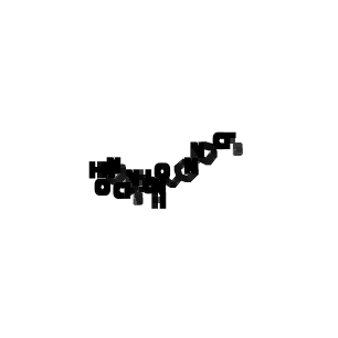 CC(CONC(=O)CC1CCN(c2ccc(C(F)(F)F)cn2)CC1)Nc1cn[nH]c(=O)c1C(F)(F)F